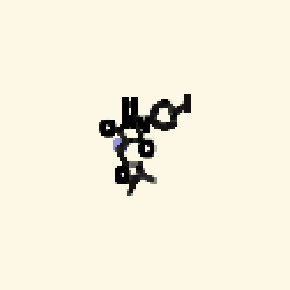 Cc1cc(/C=C2/C(=O)NN(c3ccc(I)cc3)C2=O)oc1C